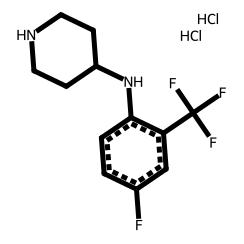 Cl.Cl.Fc1ccc(NC2CCNCC2)c(C(F)(F)F)c1